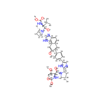 COC(=O)N[C@H](C(=O)N1[C@@H](C)CC[C@H]1c1nc2ccc3cc4c(cc3c2[nH]1)OCc1cc(-c2cnc(C3C[C@H](C)CN3C(=O)[C@@H](NC(=O)OC)[C@@H](C)OC)[nH]2)ccc1-4)C(C)C